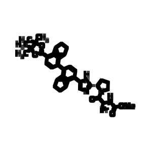 COC(=O)N[C@H](C(=O)N1CCC[C@H]1c1ncc(-c2ccc(-c3ccc(B4OC(C)(C)C(C)(C)O4)c4c3C3CCC4C3)c3c2C2CCC3C2)[nH]1)C(C)C